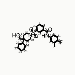 Cc1cc(NC(=O)c2cccc(S(=O)(=O)N3CCC(CO)(c4ccccc4)CC3)c2)ccc1F